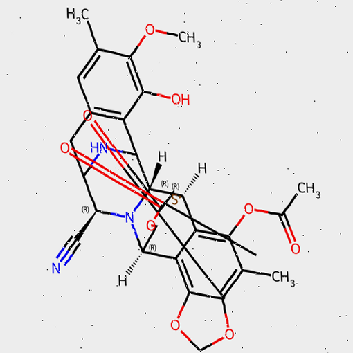 COc1c(C)cc2c(c1O)C1NC(C2)[C@H](C#N)N2[C@H]1[C@@H]1SCC(=O)C(=O)OC[C@H]2c2c3c(c(C)c(OC(C)=O)c21)OCO3